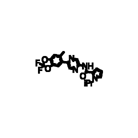 Cc1cc2c(cc1-c1cnc(NC(=O)c3cccn3C(C)C)cn1)OC(F)(F)O2